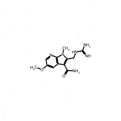 COc1cnc2c(c1)c(C(N)=O)c(CNC(=N)N)n2C